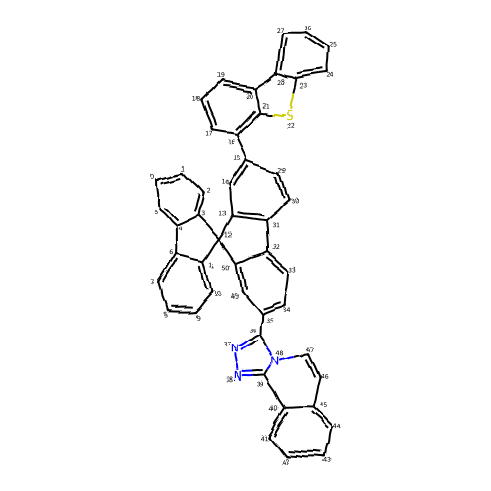 c1ccc2c(c1)-c1ccccc1C21c2cc(-c3cccc4c3sc3ccccc34)ccc2-c2ccc(-c3nnc4c5ccccc5ccn34)cc21